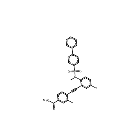 COC(=O)c1ccc(C#Cc2cc(F)ccc2N(C)S(=O)(=O)c2ccc(-c3ccccc3)cc2)c(C)c1